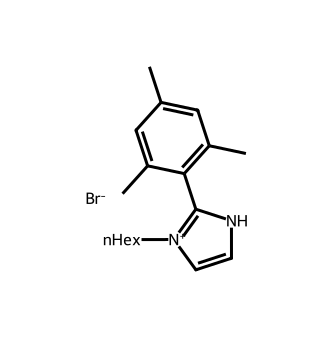 CCCCCC[n+]1cc[nH]c1-c1c(C)cc(C)cc1C.[Br-]